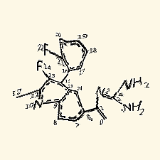 C=C(N=C(N)N)c1ccc2nc(C)c(F)c(-c3ccccc3F)c2c1